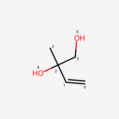 C=CC(C)(O)CO